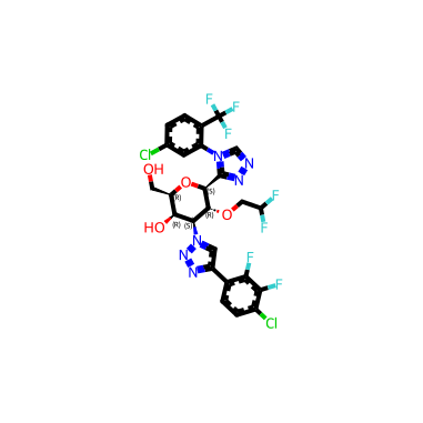 OC[C@H]1O[C@@H](c2nncn2-c2cc(Cl)ccc2C(F)(F)F)[C@H](OCC(F)F)[C@@H](n2cc(-c3ccc(Cl)c(F)c3F)nn2)[C@H]1O